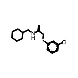 C=C(CSc1cccc(Cl)c1)NCC1CCCCC1